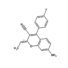 C/C=C1\Oc2cc(N)ccc2C(c2ccc(F)cc2)=C1C#N